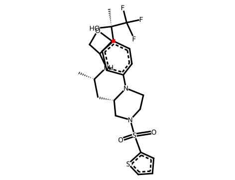 C[C@@H](C[C@H]1CN(S(=O)(=O)c2cccs2)CCN1c1ccc([C@@](C)(O)C(F)(F)F)cc1)NC1COC1